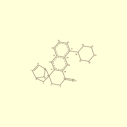 O=C1CCC2(CC3C=CC2C3)c2cc3cccc(C4CCCCC4)c3cc21